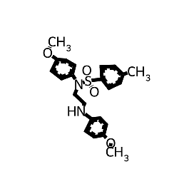 COc1ccc(NCCN(c2ccc(OC)cc2)S(=O)(=O)c2ccc(C)cc2)cc1